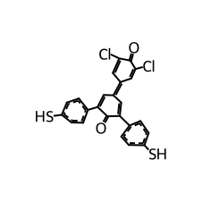 O=C1C(Cl)=CC(=C2C=C(c3ccc(S)cc3)C(=O)C(c3ccc(S)cc3)=C2)C=C1Cl